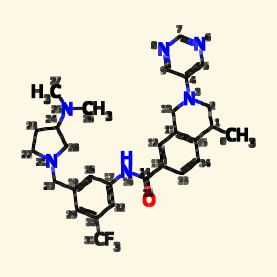 CC1CN(c2cncnc2)Cc2cc(C(=O)Nc3cc(CN4CCC(N(C)C)C4)cc(C(F)(F)F)c3)ccc21